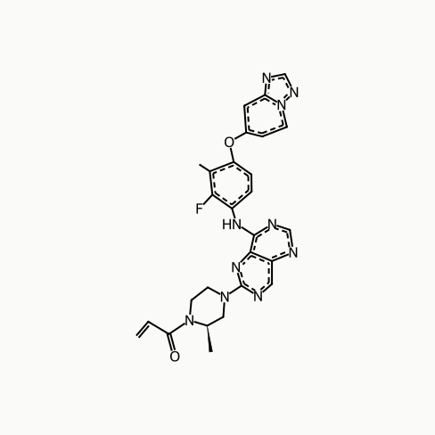 C=CC(=O)N1CCN(c2ncc3ncnc(Nc4ccc(Oc5ccn6ncnc6c5)c(C)c4F)c3n2)C[C@H]1C